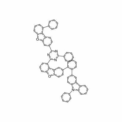 c1ccc(-c2nc(-c3ccc4c(c3)oc3cccc(-c5ccccc5)c34)nc(-c3cccc4oc5ccc(-c6ccccc6-c6ccc7c(c6)c6ccccc6n7-c6ccccc6)cc5c34)n2)cc1